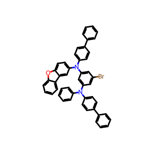 Brc1cc(N(c2ccccc2)c2ccc(-c3ccccc3)cc2)cc(N(c2ccc(-c3ccccc3)cc2)c2ccc3oc4ccccc4c3c2)c1